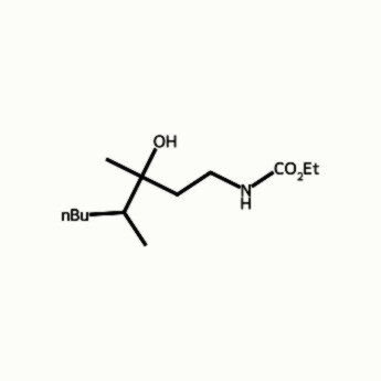 CCCCC(C)C(C)(O)CCNC(=O)OCC